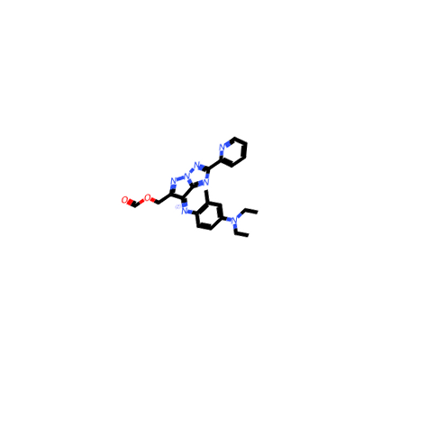 CCN(CC)c1ccc(/N=C2/C(COC=O)=Nn3nc(-c4ccccn4)nc32)c(C)c1